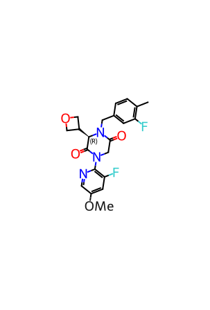 COc1cnc(N2CC(=O)N(Cc3ccc(C)c(F)c3)[C@H](C3COC3)C2=O)c(F)c1